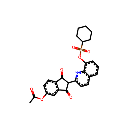 CC(=O)Oc1ccc2c(c1)C(=O)C(c1ccc3cccc(OS(=O)(=O)C4CCCCC4)c3n1)C2=O